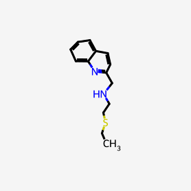 CCSCCNCc1ccc2ccccc2n1